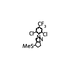 CSC1CCc2nn(-c3c(Cl)cc(C(F)(F)F)cc3Cl)cc21